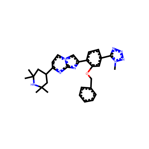 Cn1nnnc1-c1ccc(-c2cn3ccc(C4CC(C)(C)NC(C)(C)C4)nc3n2)c(OCc2ccccc2)c1